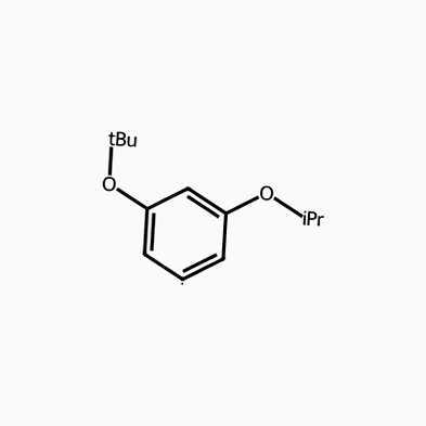 CC(C)Oc1c[c]cc(OC(C)(C)C)c1